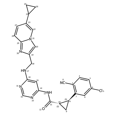 N#Cc1ccc(Cl)cc1[C@H]1C[C@@H]1C(=O)Nc1cc(NCc2cn3cc(C4CC4)ccc3n2)ncn1